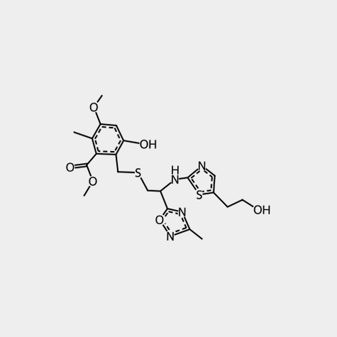 COC(=O)c1c(C)c(OC)cc(O)c1CSCC(Nc1ncc(CCO)s1)c1nc(C)no1